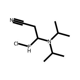 CC(C)N(C(C)C)C(CC#N)PCl